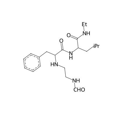 CCNC(=O)C(CC(C)C)NC(=O)C(Cc1ccccc1)NCCNC=O